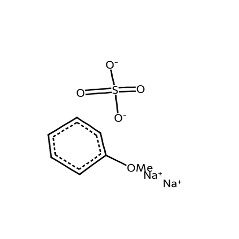 COc1ccccc1.O=S(=O)([O-])[O-].[Na+].[Na+]